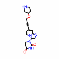 O=C1CCN(c2cnc3cc(C#CCOC4CCNCC4)ccn23)C(=O)N1